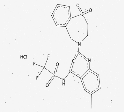 Cc1ccc2nc(N3CCS(=O)(=O)c4ccccc4C3)cc(NS(=O)(=O)C(F)(F)F)c2c1.Cl